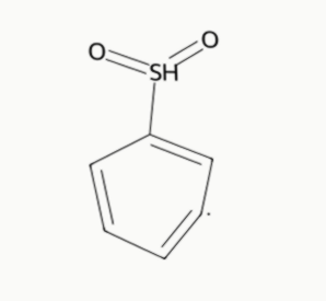 O=[SH](=O)c1c[c]ccc1